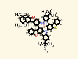 CC(C)(C)c1ccc(Nc2cc3oc4cc5c(cc4c3cc2-c2c3c4c(c6cc(C(C)(C)C)ccc6n4-c4cc6sc7ccccc7c6cc4B3)c3oc4ccccc4c23)C(C)(C)CCC5(C)C)cc1